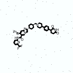 CC(C)Oc1cc2nc([C@H]3CC[C@H](CN4CCC(c5ccc(C6CCC(=O)NC6=O)cc5)CC4)CC3)cn2cc1C(=O)Nc1cccc(C(F)F)n1